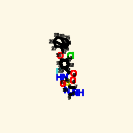 O=C(NS(=O)(=O)c1c[nH]cn1)c1cc(Cl)c(OCC23CC4CC(CC(C4)C2)C3)cc1F